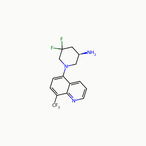 N[C@H]1CN(c2ccc(C(F)(F)F)c3ncccc23)CC(F)(F)C1